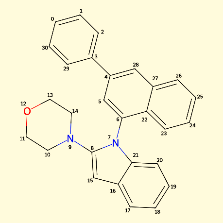 c1ccc(-c2cc(-n3c(N4CCOCC4)cc4ccccc43)c3ccccc3c2)cc1